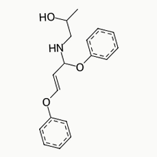 CC(O)CNC(/C=C/Oc1ccccc1)Oc1ccccc1